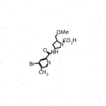 COCC1CC(NC(=O)c2cc(Br)c(C)cn2)CN1C(=O)O